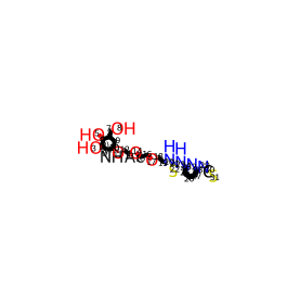 CC(=O)NC1[C@@H](O)C(O)C(CO)C[C@H]1OCCOCCOCCNC(=S)Nc1cccc(N=C=S)n1